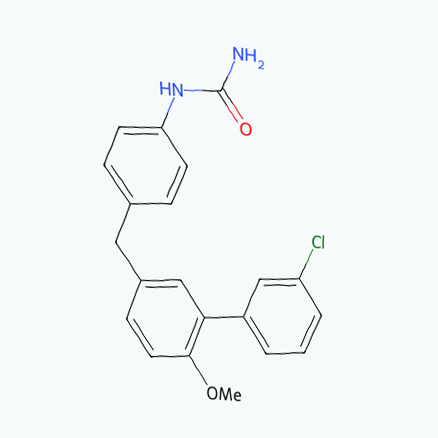 COc1ccc(Cc2ccc(NC(N)=O)cc2)cc1-c1cccc(Cl)c1